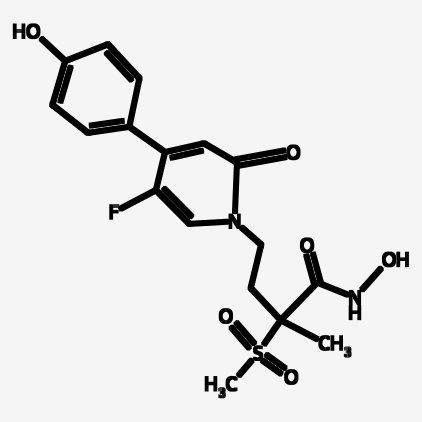 CC(CCn1cc(F)c(-c2ccc(O)cc2)cc1=O)(C(=O)NO)S(C)(=O)=O